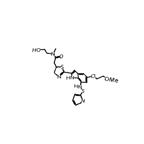 COCCOc1cc(NSc2ccccn2)c2[nH]c(C3=NCC(CC(=O)N(C)CCO)S3)cc2c1